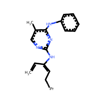 C=C/C(=C\CC(C)C)Nc1ncc(C)c(Nc2ccccc2)n1